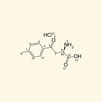 Cc1ccc(C(=O)C[C@@H](N)C(=O)O)cc1.Cl